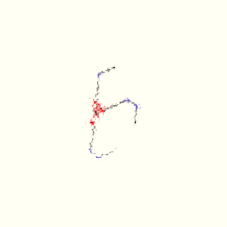 CCCCC/C=C\C/C=C\CCCCCCCC(=O)OC[C@@H](COC(=O)CCCCCCC/C=C\CCCCC)OC(=O)CCCCCCC/C=C\C/C=C\CCCCC